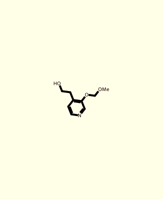 COCOc1cnccc1CCO